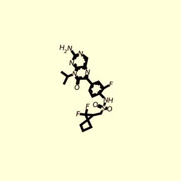 CC(C)n1c(=O)c(-c2ccc(NS(=O)(=O)CC3C(F)(F)C34CCC4)c(F)c2)nc2cnc(N)nc21